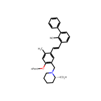 CCCCCOc1cc(C)c(/C=C/c2cccc(-c3ccccc3)c2C#N)cc1CN1CCCC[C@H]1C(=O)O